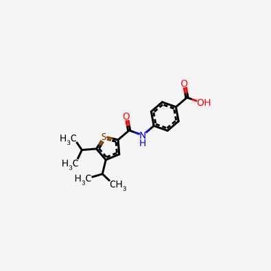 CC(C)c1cc(C(=O)Nc2ccc(C(=O)O)cc2)sc1C(C)C